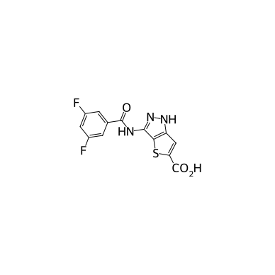 O=C(Nc1n[nH]c2cc(C(=O)O)sc12)c1cc(F)cc(F)c1